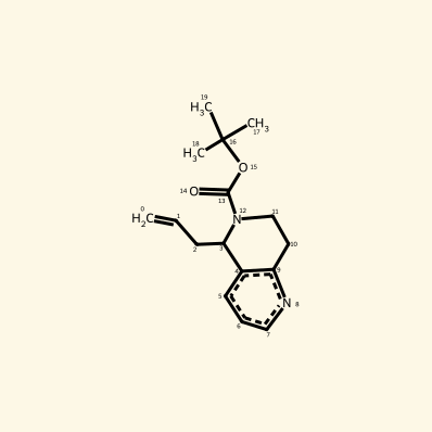 C=CCC1c2cccnc2CCN1C(=O)OC(C)(C)C